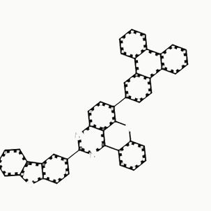 c1ccc2c(c1)Sc1c(-c3ccc4c5ccccc5c5ccccc5c4c3)ccc3nc(-c4ccc5sc6ccccc6c5c4)nc-2c13